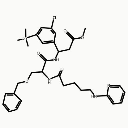 COC(=O)CC(NC(=O)C(COCc1ccccc1)NC(=O)CCCCNc1ccccn1)c1cc(Cl)c[c]([Sn]([CH3])([CH3])[CH3])c1